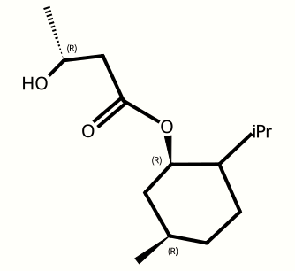 CC(C)C1CC[C@@H](C)C[C@H]1OC(=O)C[C@@H](C)O